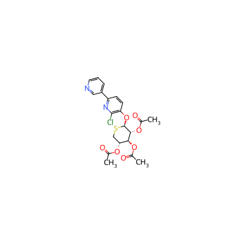 CC(=O)O[C@@H]1[C@@H](OC(C)=O)[C@H](OC(C)=O)CS[C@H]1Oc1ccc(-c2cccnc2)nc1Cl